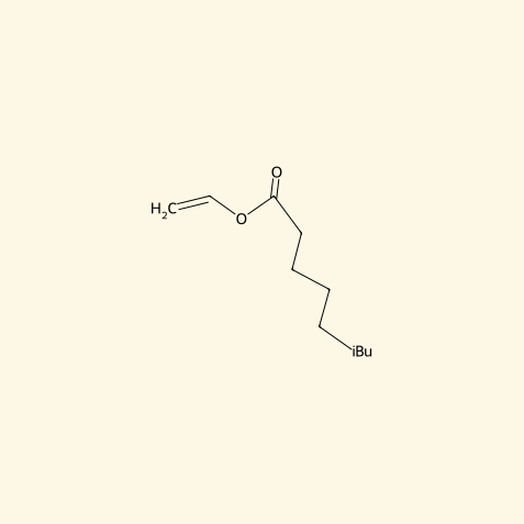 C=COC(=O)CCCCC(C)CC